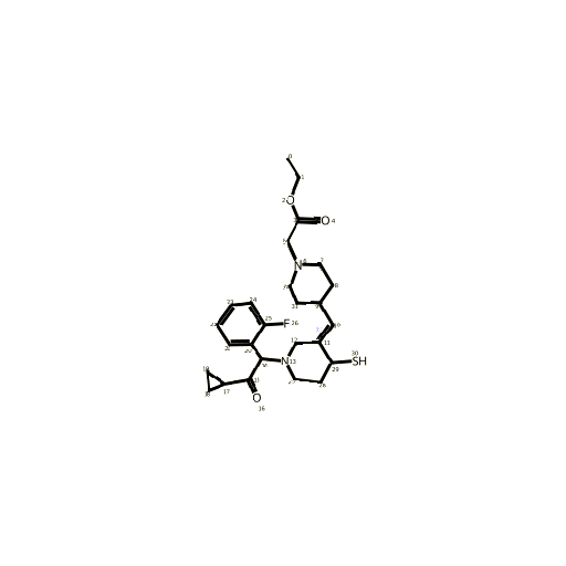 CCOC(=O)CN1CCC(/C=C2\CN(C(C(=O)C3CC3)c3ccccc3F)CCC2S)CC1